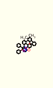 Cc1cc2c(c(-c3cccc(-c4nnnc(-c5ccccc5)c4-c4ccccc4)c3-c3cccc4oc5ccccc5c34)c1C)Cc1ccccc1-2